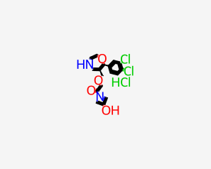 Cl.O=C(COC[C@H]1CNCCO[C@H]1c1ccc(Cl)c(Cl)c1)N1CC(O)C1